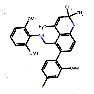 COc1cc(F)ccc1-c1ccc2c(c1CNc1c(OC)cccc1OC)C(C)=CC(C)(C)N2